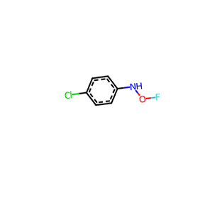 FONc1ccc(Cl)cc1